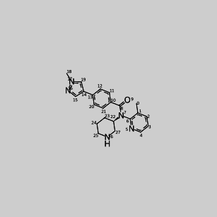 Cc1cccnc1N(C(=O)c1ccc(-c2cnn(C)c2)cc1)[C@@H]1CCCNC1